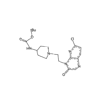 CC(C)(C)OC(=O)NC1CCN(CCn2c(=O)cnc3ccc(Cl)nc32)CC1